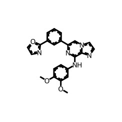 COc1ccc(Nc2nc(-c3cccc(-c4ncco4)c3)cn3ccnc23)cc1OC